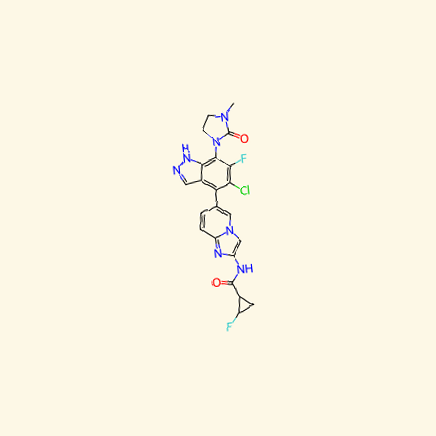 CN1CCN(c2c(F)c(Cl)c(-c3ccc4nc(NC(=O)C5CC5F)cn4c3)c3cn[nH]c23)C1=O